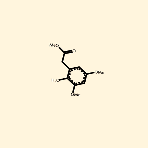 COC(=O)Cc1cc(OC)cc(OC)c1C